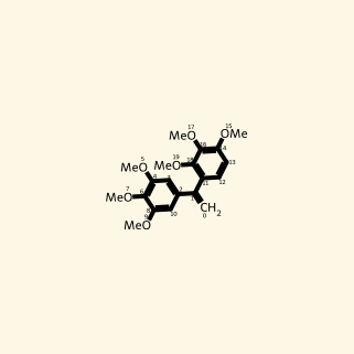 C=C(c1cc(OC)c(OC)c(OC)c1)c1ccc(OC)c(OC)c1OC